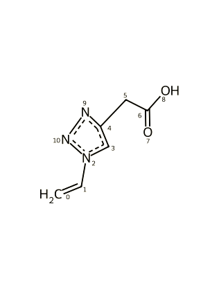 C=Cn1cc(CC(=O)O)nn1